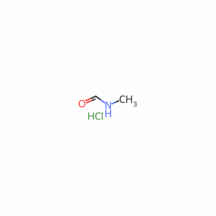 CNC=O.Cl